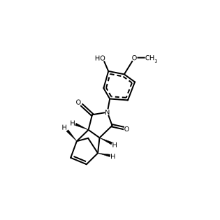 COc1ccc(N2C(=O)[C@@H]3[C@H](C2=O)[C@@H]2C=C[C@H]3C2)cc1O